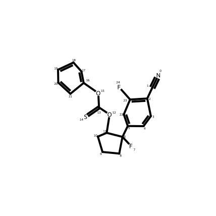 N#Cc1ccc(C2(F)CCCC2OC(=S)Oc2ccccc2)cc1F